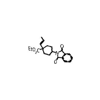 CC=CC1(C(=O)OCC)CCC(N2C(=O)c3ccccc3C2=O)CC1